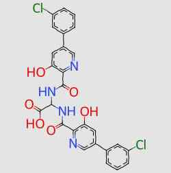 O=C(NC(NC(=O)c1ncc(-c2cccc(Cl)c2)cc1O)C(=O)O)c1ncc(-c2cccc(Cl)c2)cc1O